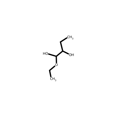 CCOC(O)C(O)CC